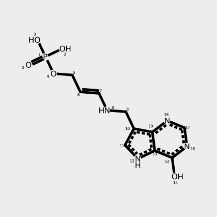 O=P(O)(O)OCC=CNCc1c[nH]c2c(O)ncnc12